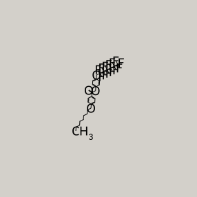 CCCCCCCCOc1ccc(C(=O)Oc2ccc(OC(F)(F)C(F)(F)C(F)(F)C(F)(F)C(F)(F)C(F)(F)F)cc2)cc1